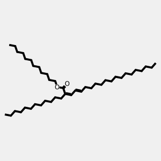 CCCCCCCCCCCCCCCC=CC=C(CCCCCCCCCCCC)C(=O)OCCCCCCCCCCCC